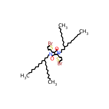 CCCCCCCCCCC(CCCCCCCCCC)CCCN1C(=O)C2=C(c3ccc(Br)s3)N(CCCC(CCCCCCCCCC)CCCCCCCCCC)C(=O)C2=C1c1ccc(Br)s1